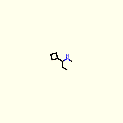 CCC(NC)C1CCC1